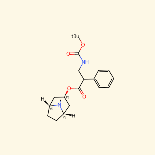 CN1[C@@H]2CC[C@H]1C[C@H](OC(=O)C(CNC(=O)OC(C)(C)C)c1ccccc1)C2